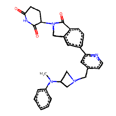 CN(c1ccccc1)C1CN(Cc2ccnc(-c3ccc4c(c3)CN(C3CCC(=O)NC3=O)C4=O)c2)C1